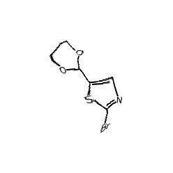 Brc1ncc(C2OCCO2)s1